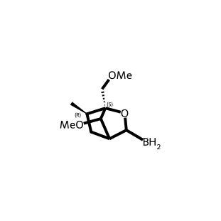 BC1O[C@@]2(COC)C(OC)C1C[C@H]2C